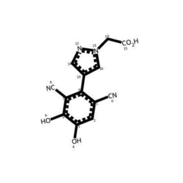 N#Cc1cc(O)c(O)c(C#N)c1-c1cnn(CC(=O)O)c1